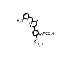 CN(CC(=O)c1ccc(OCC(=O)O)c(OCC(=O)O)c1)C(=O)Cc1cccc(N)n1